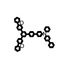 c1ccc(-c2ccc(N(c3ccccc3)c3ccc(-c4ccc(-c5cc(-c6ccc7c(c6)oc6ccccc67)cc(-c6ccc7c(c6)oc6ccccc67)c5)cc4)cc3)cc2)cc1